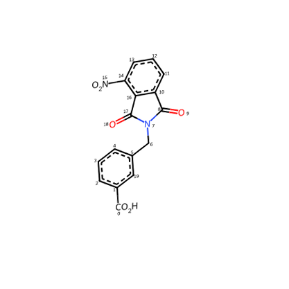 O=C(O)c1cccc(CN2C(=O)c3cccc([N+](=O)[O-])c3C2=O)c1